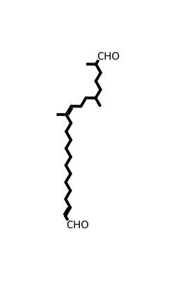 CC(=CCCC(C)CCCC(C)C=O)CCCCCCCCCCC=CC=O